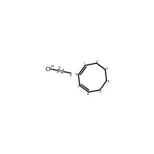 C1=CCCCCC=C1.[CH3][Pd][Cl]